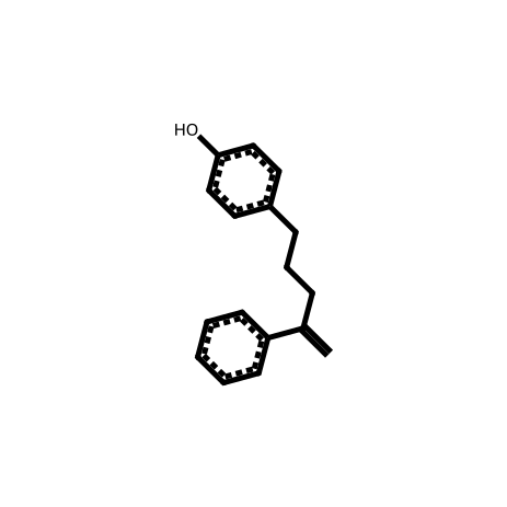 C=C(CCCc1ccc(O)cc1)c1ccccc1